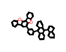 C1=CC2Oc3c(-c4cccc(-c5c6ccccc6c(-c6cccc7ccccc67)c6ccccc56)c4)cc4c(oc5ccccc54)c3C2C=C1